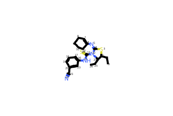 CCC1S/C(=N/C2=CCCCC2)N(C(=S)Nc2cccc(C#N)c2)C1CC